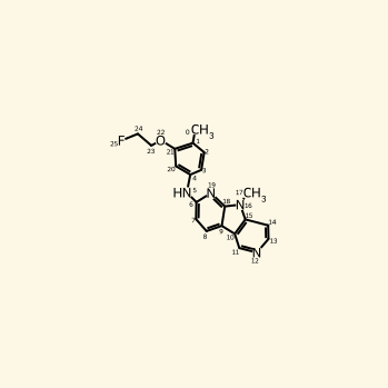 Cc1ccc(Nc2ccc3c4cnccc4n(C)c3n2)cc1OCCF